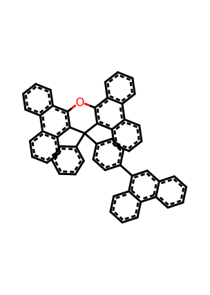 c1ccc(C2(c3ccc(-c4cc5ccccc5c5ccccc45)cc3)c3c(c4ccccc4c4ccccc34)Oc3c2c2ccccc2c2ccccc32)cc1